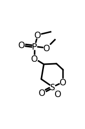 COP(=O)(OC)OC1CCOS(=O)(=O)C1